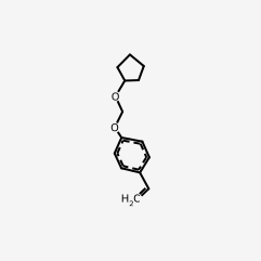 C=Cc1ccc(OCOC2CCCC2)cc1